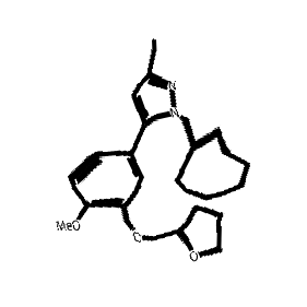 COc1ccc(-c2cc(C)nn2C2CCCCC2)cc1OC1CCCO1